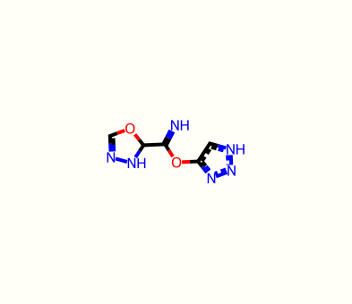 N=C(Oc1c[nH]nn1)C1NN=CO1